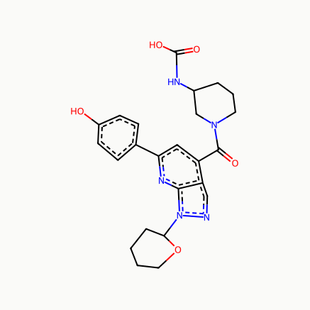 O=C(O)NC1CCCN(C(=O)c2cc(-c3ccc(O)cc3)nc3c2cnn3C2CCCCO2)C1